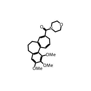 COc1cc2c(c(OC)c1OC)C1=C(C=C(C(=O)N3CCOCC3)CC=C1)CCC2